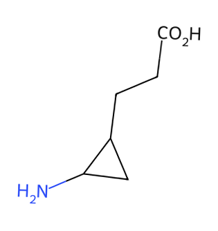 NC1CC1CCC(=O)O